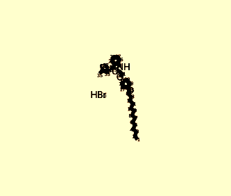 Br.CCCCCCCCCCCCCCOc1ccc(OCC(=O)Nc2ccccc2CN2C=C(C)SC2)cc1